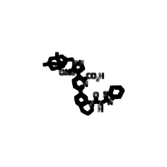 COC12CC3(C)CC(C)(CC(Cn4ncc(-c5ccc(-c6ccc7c(c6)N(C(=O)Nc6nc8ccccc8s6)CCC7)nc5C(=O)O)c4C)(C3)C1)C2